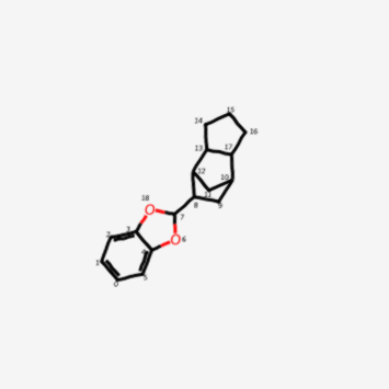 c1ccc2c(c1)OC(C1CC3CC1C1CCCC31)O2